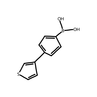 OB(O)c1ccc(-c2ccsc2)cc1